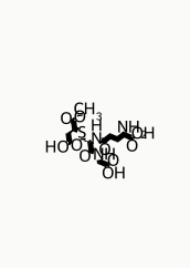 COC(=O)[C@H](CC(=O)O)SC[C@H](NC(=O)CC[C@H](N)C(=O)O)C(=O)NCC(=O)O